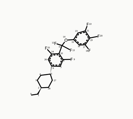 CC[C@H]1CC[C@H](c2cc(F)c(C(F)(F)Oc3cc(F)c(F)c(F)c3)c(F)c2)CC1